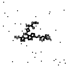 Cc1nnc(-c2cnc3c(ccn3COCC[Si](C)(C)C)c2N[C@H]2C[C@@H](NC(=O)OC(C)(C)C)C2)s1